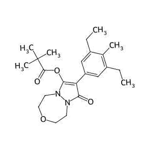 CCc1cc(-c2c(OC(=O)C(C)(C)C)n3n(c2=O)CCOCC3)cc(CC)c1C